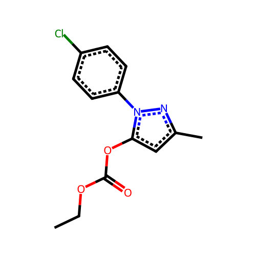 CCOC(=O)Oc1cc(C)nn1-c1ccc(Cl)cc1